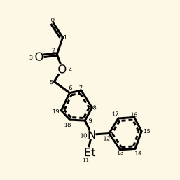 C=CC(=O)OCc1ccc(N(CC)c2ccccc2)cc1